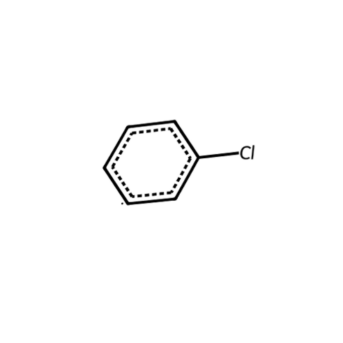 Clc1c[c]ccc1